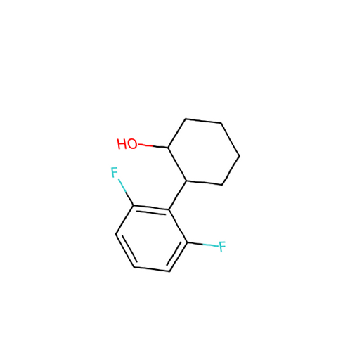 OC1CCCCC1c1c(F)cccc1F